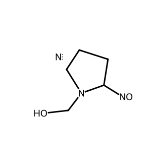 O=NC1CCCN1CO.[N]